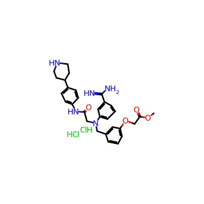 COC(=O)COc1cccc(CN(CC(=O)Nc2ccc(C3CCNCC3)cc2)c2cccc(C(=N)N)c2)c1.Cl.Cl